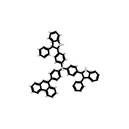 c1ccc(C2c3ccccc3OC2c2ccc(N(c3ccc(-c4cc5ccccc5c5ccccc45)cc3)c3ccc(C4Oc5ccccc5C4c4ccccc4)cc3)cc2)cc1